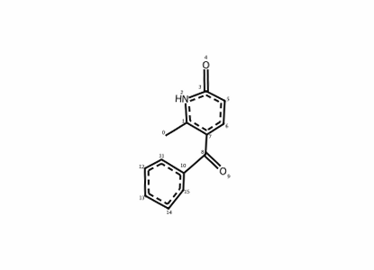 Cc1[nH]c(=O)ccc1C(=O)c1ccccc1